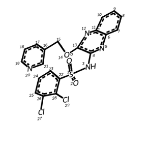 O=S(=O)(Nc1nc2ccccc2nc1OCc1cccnc1)c1cccc(Cl)c1Cl